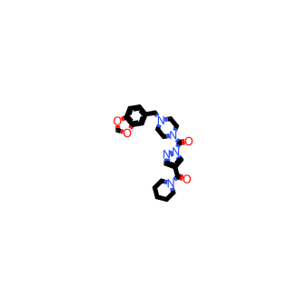 O=C(c1cnn(C(=O)N2CCN(Cc3ccc4c(c3)OCO4)CC2)c1)N1CCCCC1